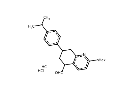 CCCCCCc1ccc2c(n1)CC(c1ccc(N(C)C)cc1)CC2C=O.Cl.Cl